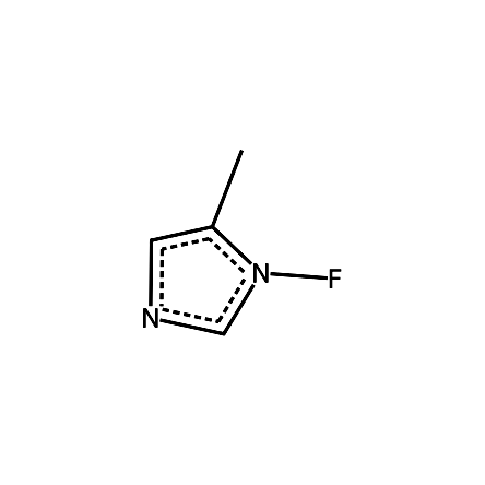 Cc1cncn1F